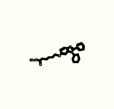 COC(=O)CCCCCOc1ccc2nc(-c3ccccc3)n(C3CCCCC3)c2c1